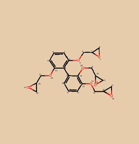 c1cc(OCC2CO2)c(-c2cccc(OCC3CO3)c2OCC2CO2)c(OCC2CO2)c1